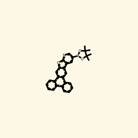 CC1(C)OB(c2cnc3oc4cc5c6ccccc6c6ccccc6c5cc4c3c2)OC1(C)C